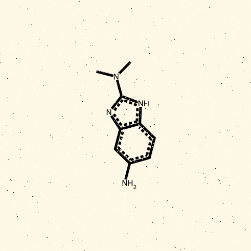 CN(C)c1nc2cc(N)ccc2[nH]1